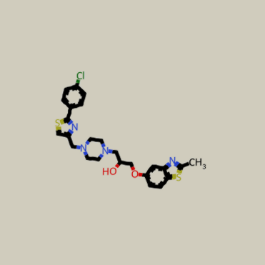 Cc1nc2cc(OCC(O)CN3CCN(Cc4csc(-c5ccc(Cl)cc5)n4)CC3)ccc2s1